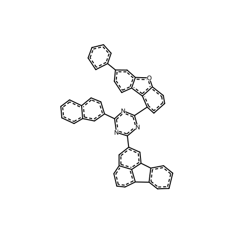 c1ccc(-c2ccc3c(c2)oc2cccc(-c4nc(-c5ccc6ccccc6c5)nc(-c5cc6c7c(cccc7c5)-c5ccccc5-6)n4)c23)cc1